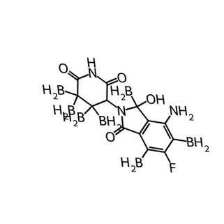 Bc1c(N)c2c(c(B)c1F)C(=O)N(C1C(=O)NC(=O)C(B)(B)C1(B)B)C2(B)O